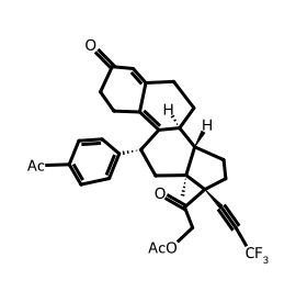 CC(=O)OCC(=O)[C@@]1(C#CC(F)(F)F)CC[C@H]2[C@@H]3CCC4=CC(=O)CCC4=C3[C@@H](c3ccc(C(C)=O)cc3)C[C@@]21C